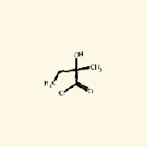 CC[C@](C)(O)C(=O)Cl